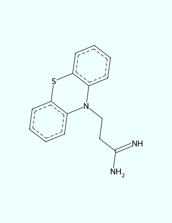 N=C(N)CCN1c2ccccc2Sc2ccccc21